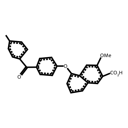 COc1cc2c(Oc3ccc(C(=O)c4ccc(C)cc4)cc3)cccc2cc1C(=O)O